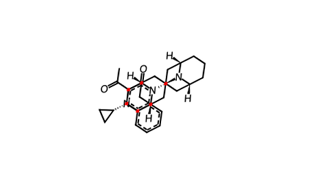 CC(=O)c1nc2ccccc2n([C@H]2C[C@H]3CCC[C@@H](C2)N3[C@@H]2C[C@@H]3C[C@@H](C[C@H](C4CC4)C3)C2)c1=O